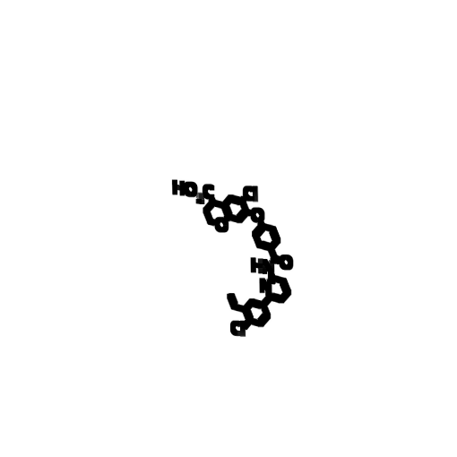 C=Cc1cc(-c2cccc(NC(=O)c3ccc(Oc4cc5c(cc4Cl)C(C(=O)O)CCO5)cc3)n2)ccc1Cl